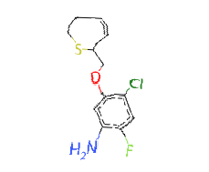 Nc1cc(OCC2C=CCCS2)c(Cl)cc1F